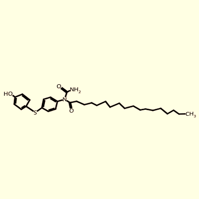 CCCCCCCCCCCCCCCCCC(=O)N(C(N)=O)c1ccc(Sc2ccc(O)cc2)cc1